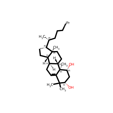 CC(C)CCC[C@@H](C)[C@H]1CC[C@H]2[C@@H]3CC=C4C(C)(C)[C@@H](O)C[C@@H](O)[C@]4(C)[C@H]3CC[C@]12C